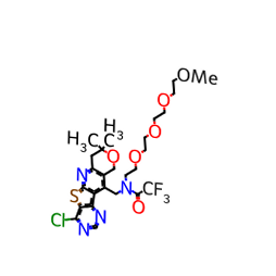 COCCOCCOCCOCCN(Cc1c2c(nc3sc4c(Cl)ncnc4c13)CC(C)(C)OC2)C(=O)C(F)(F)F